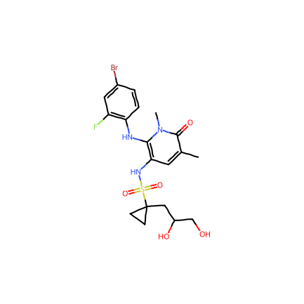 Cc1cc(NS(=O)(=O)C2(CC(O)CO)CC2)c(Nc2ccc(Br)cc2F)n(C)c1=O